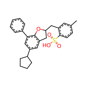 Cc1ccc(S(=O)(=O)O)c(CC2Cc3cc(C4CCCC4)cc(-c4ccccc4)c3O2)c1